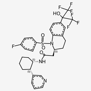 O=C(C[C@@H]1CCc2cc(C(O)(C(F)(F)F)C(F)(F)F)ccc2N1S(=O)(=O)c1ccc(F)cc1)N[C@H]1CCCC[C@H]1c1cccnc1